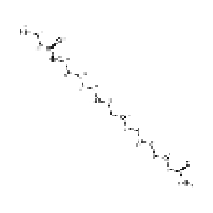 NC(=O)COCCOCCOCCOCCOCCNC(=O)CCS